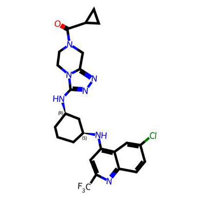 O=C(C1CC1)N1CCn2c(nnc2N[C@@H]2CCC[C@H](Nc3cc(C(F)(F)F)nc4ccc(Cl)cc34)C2)C1